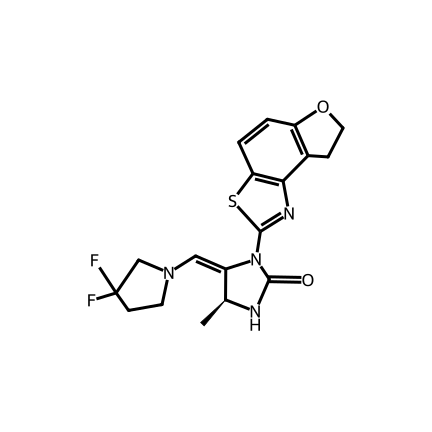 C[C@@H]1NC(=O)N(c2nc3c4c(ccc3s2)OCC4)/C1=C/N1CCC(F)(F)C1